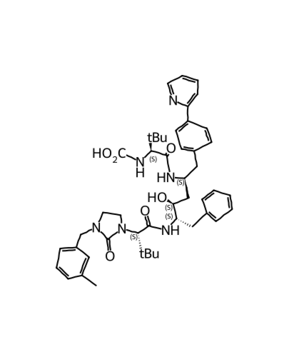 Cc1cccc(CN2CCN([C@H](C(=O)N[C@@H](Cc3ccccc3)[C@@H](O)C[C@H](Cc3ccc(-c4ccccn4)cc3)NC(=O)[C@@H](NC(=O)O)C(C)(C)C)C(C)(C)C)C2=O)c1